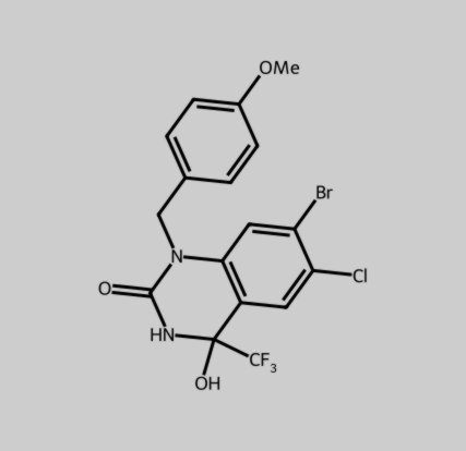 COc1ccc(CN2C(=O)NC(O)(C(F)(F)F)c3cc(Cl)c(Br)cc32)cc1